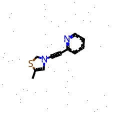 CC1=CN(C#Cc2ccccn2)CS1